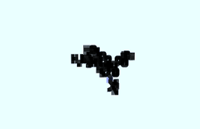 Cc1ncsc1/C=C/C1=C(C(=O)OCOC(=O)C(C)(C)C)N2C(=O)C(NC(=O)/C(=N/O)c3csc(N)n3)[C@H]2SC1